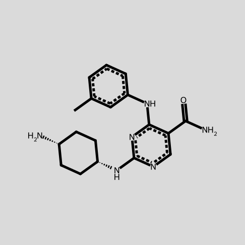 Cc1cccc(Nc2nc(N[C@H]3CC[C@@H](N)CC3)ncc2C(N)=O)c1